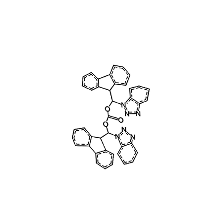 O=C(OC(C1c2ccccc2-c2ccccc21)n1nnc2ccccc21)OC(C1c2ccccc2-c2ccccc21)n1nnc2ccccc21